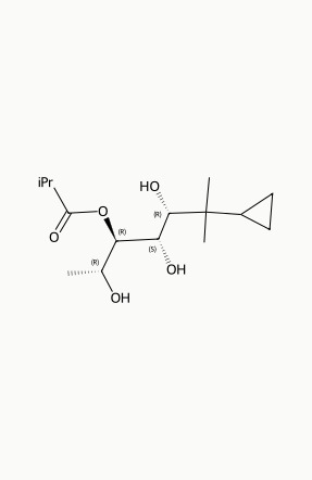 CC(C)C(=O)O[C@@H]([C@@H](O)[C@H](O)C(C)(C)C1CC1)[C@@H](C)O